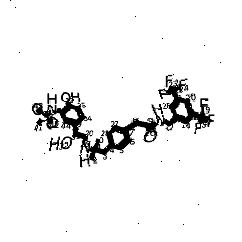 CC(C)(Cc1ccc(CC(=O)NCc2cc(C(F)(F)F)cc(C(F)(F)F)c2)cc1)NC[C@@H](O)c1ccc(O)c(NS(C)(=O)=O)c1